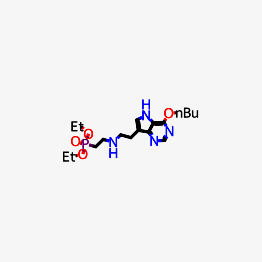 CCCCOc1ncnc2c(CCNCCP(=O)(OCC)OCC)c[nH]c12